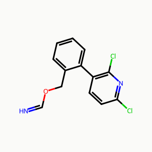 N=COCc1ccccc1-c1ccc(Cl)nc1Cl